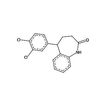 O=C1CCC(c2ccc(Cl)c(Cl)c2)c2ccccc2N1